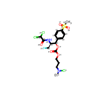 CCN(Cl)CCCOC(=O)O[C@H](c1ccc(S(C)(=O)=O)cc1)[C@@H](CF)NC(=O)C(Cl)Cl